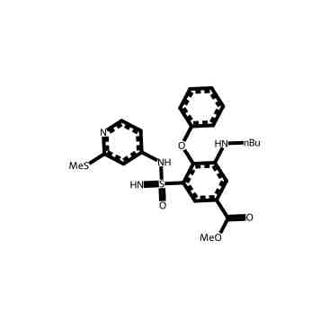 CCCCNc1cc(C(=O)OC)cc(S(=N)(=O)Nc2ccnc(SC)c2)c1Oc1ccccc1